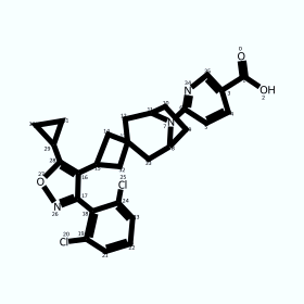 O=C(O)c1ccc(N2C3CCC2CC2(CC(c4c(-c5c(Cl)cccc5Cl)noc4C4CC4)C2)C3)nc1